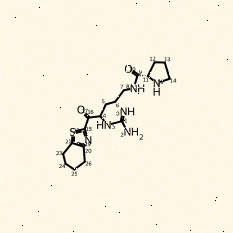 N=C(N)NC(CCCNC(=O)[C@@H]1CCCN1)C(=O)c1nc2c(s1)CCCC2